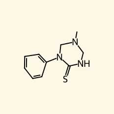 CN1CNC(=S)N(c2ccccc2)C1